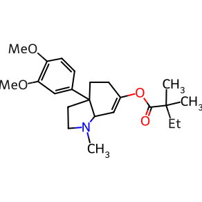 CCC(C)(C)C(=O)OC1=CC2N(C)CCC2(c2ccc(OC)c(OC)c2)CC1